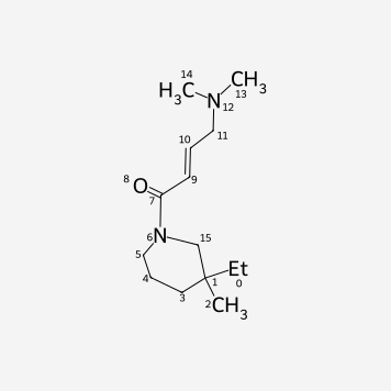 CCC1(C)CCCN(C(=O)/C=C/CN(C)C)C1